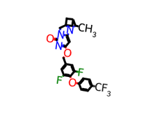 CC1C2CC3(C2)Cn2c(cc(OCc4cc(F)c(Oc5ccc(C(F)(F)F)cc5)c(F)c4)nc2=O)N13